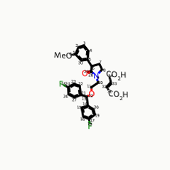 COc1cccc(C2CCN(CCOC(c3ccc(F)cc3)c3ccc(F)cc3)C2=O)c1.O=C(O)C=CC(=O)O